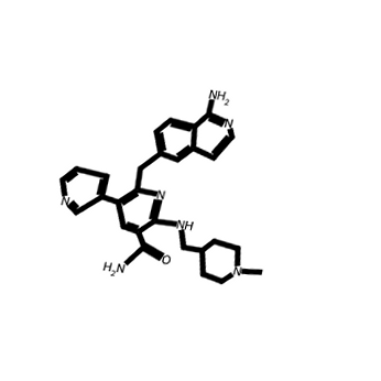 CN1CCC(CNc2nc(Cc3ccc4c(N)nccc4c3)c(-c3cccnc3)cc2C(N)=O)CC1